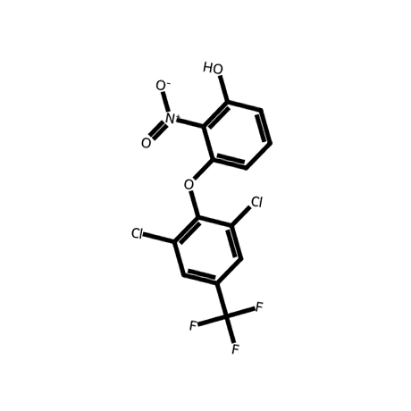 O=[N+]([O-])c1c(O)cccc1Oc1c(Cl)cc(C(F)(F)F)cc1Cl